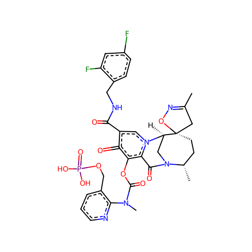 CC1=NO[C@@]2(CC[C@H](C)N3C[C@H]2n2cc(C(=O)NCc4ccc(F)cc4F)c(=O)c(OC(=O)N(C)c4ncccc4COP(=O)(O)O)c2C3=O)C1